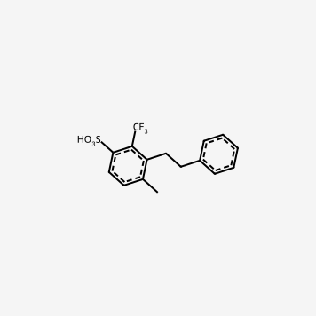 Cc1ccc(S(=O)(=O)O)c(C(F)(F)F)c1CCc1ccccc1